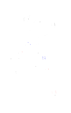 Cc1ccccc1-c1cc(OCCCO)ncc1C(=O)N(C)Cc1cc(C(F)(F)F)cc(C(F)(F)F)c1